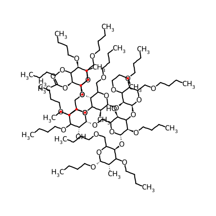 CCCCOCC1O[C@H](OCC2O[C@@H](O[C@@H]3C(COCCCC)O[C@@H](OCCCC)[C@@H](C)C3OCCCC)[C@H](OCCCC)C(O[C@@H]3OC(COCCCC)[C@H](OCCCC)C(OCCCC)[C@@H]3O[C@@H]3OC(COCCCC)[C@@H](O[C@@H]4OC(COCCCC)[C@H](OCCCC)C(OCCCC)[C@@H]4OC(C)=O)C(OCCCC)[C@@H]3C)[C@@H]2O)[C@H](O)C(OCCCC)[C@@H]1OCCCC